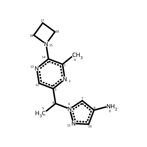 Cc1nc(C(C)n2cc(N)cn2)cnc1N1CCC1